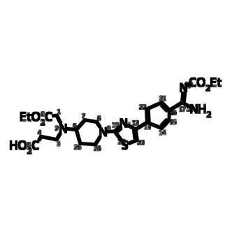 CCOC(=O)CN(CCC(=O)O)C1CCN(c2nc(-c3ccc(C(N)=NC(=O)OCC)cc3)cs2)CC1